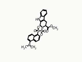 COC(=O)C1Cc2c([nH]c3ccccc23)CN1S(=O)(=O)S(=O)(=O)c1cccc2c(N(C)C)cccc12